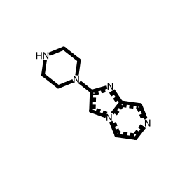 c1cn2cc(N3CCNCC3)nc2cn1